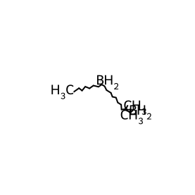 BCC(C)(C)CCCCCCCC[C@@H](B)CCCCCCCC